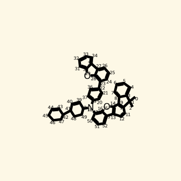 CC1(C)c2ccccc2-c2c1ccc1c2oc2c(N(c3ccc(-c4cccc5c4oc4ccccc45)cc3)C3C=CC(C4C=CCCC4)CC3)cccc21